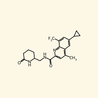 Cc1cc(C(=O)NCC2CCCC(=O)N2)nc2c(C(F)(F)F)cc(C3CC3)cc12